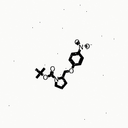 CC(C)(C)OC(=O)N1CCCC1COc1ccc([N+](=O)[O-])cc1